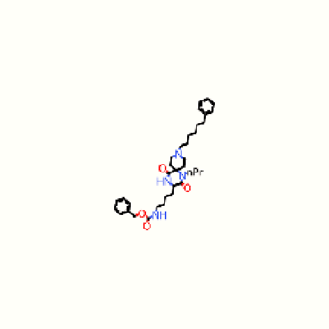 CCCN1C(=O)C(CCCCNC(=O)OCc2ccccc2)NC(=O)C12CCN(CCCCCCc1ccccc1)CC2